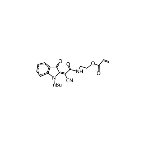 C=CC(=O)OCCNC(=O)/C(C#N)=C1\C(=O)c2ccccc2N1CCCC